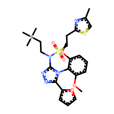 COc1cccc(OC)c1-n1c(-c2ccco2)nnc1N(CC[Si](C)(C)C)S(=O)(=O)CCc1nc(C)cs1